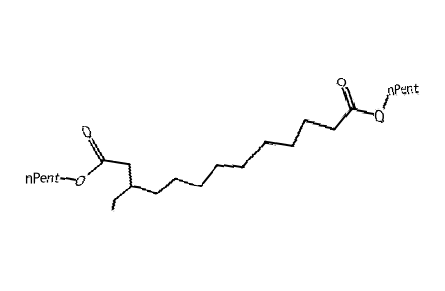 CCCCCOC(=O)CCCCCCCCCC(C)CC(=O)OCCCCC